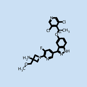 COCC1(N)CN(c2ncc(-c3n[nH]c4ccc(O[C@H](C)c5c(Cl)cncc5Cl)cc34)cc2F)C1